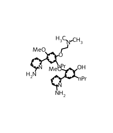 CCCc1cc(-c2cccc(N)n2)c(OC)cc1O.CCCc1cc(-c2cccc(N)n2)c(OC)cc1OCCN(C)C